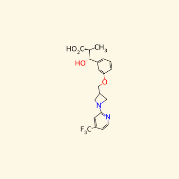 C[C@H](C(=O)O)[C@@H](O)c1cccc(OCC2CN(c3cc(C(F)(F)F)ccn3)C2)c1